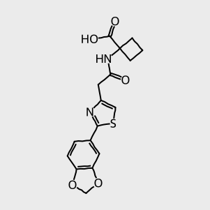 O=C(Cc1csc(-c2ccc3c(c2)OCO3)n1)NC1(C(=O)O)CCC1